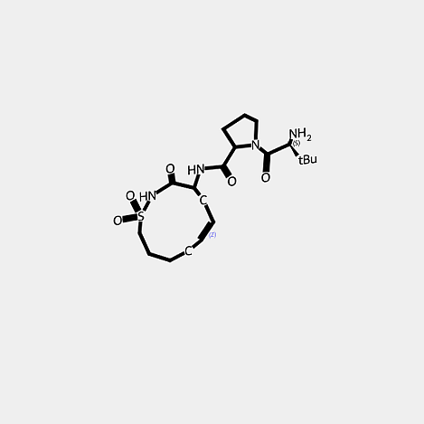 CC(C)(C)[C@H](N)C(=O)N1CCCC1C(=O)NC1C/C=C\CCCCS(=O)(=O)NC1=O